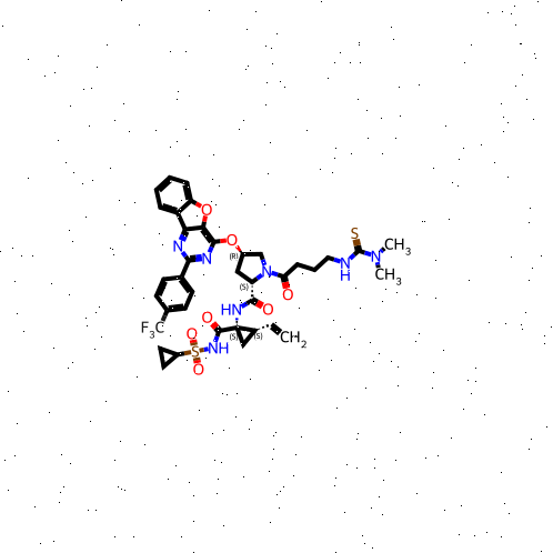 C=C[C@@H]1C[C@@]1(NC(=O)[C@@H]1C[C@@H](Oc2nc(-c3ccc(C(F)(F)F)cc3)nc3c2oc2ccccc23)CN1C(=O)CCCNC(=S)N(C)C)C(=O)NS(=O)(=O)C1CC1